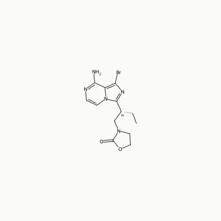 CC[C@H](CN1CCOC1=O)c1nc(Br)c2c(N)nccn12